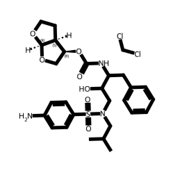 CC(C)CN(CC(O)C(Cc1ccccc1)NC(=O)O[C@H]1CO[C@H]2OCC[C@H]21)S(=O)(=O)c1ccc(N)cc1.ClCCl